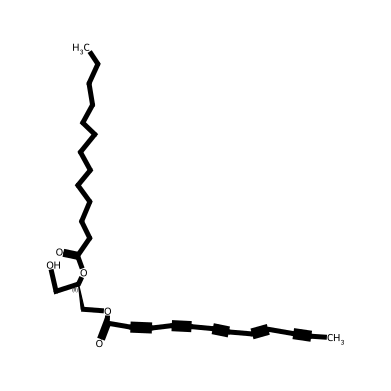 CC#CC#CC#CC#CC#CC(=O)OC[C@@H](CO)OC(=O)CCCCCCCCCCCC